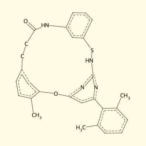 Cc1ccc2cc1Oc1cc(-c3c(C)cccc3C)nc(n1)NSc1cccc(c1)NC(=O)CC2